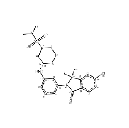 CC(C)S(=O)(=O)N1CCC[C@H](Nc2cncc(N3C(=O)c4ccc(Cl)cc4C3(C)C)c2)C1